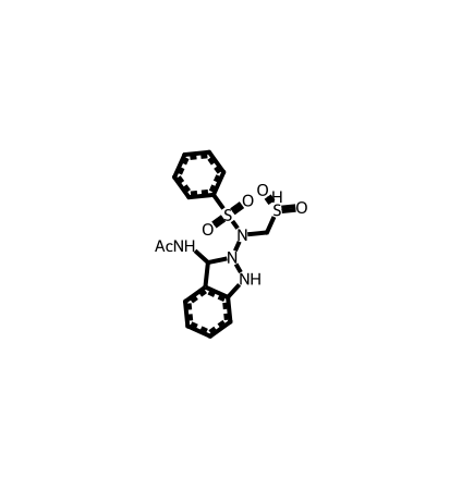 CC(=O)NC1c2ccccc2NN1N(C[SH](=O)=O)S(=O)(=O)c1ccccc1